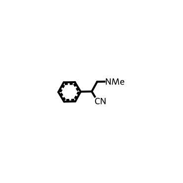 CNCC(C#N)c1ccccc1